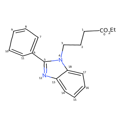 CCOC(=O)CCCn1c(-c2ccccc2)nc2ccccc21